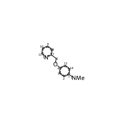 CNc1ccc(OCc2ccccn2)cc1